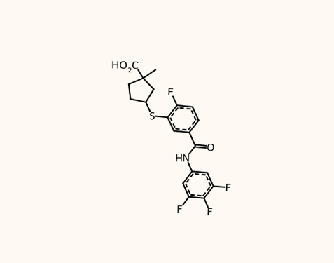 CC1(C(=O)O)CCC(Sc2cc(C(=O)Nc3cc(F)c(F)c(F)c3)ccc2F)C1